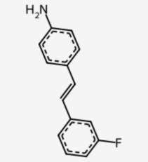 Nc1ccc(/C=C/c2cccc(F)c2)cc1